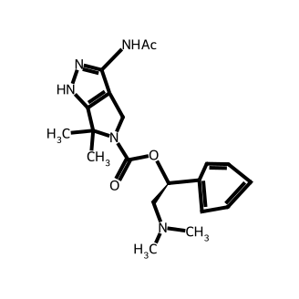 CC(=O)Nc1n[nH]c2c1CN(C(=O)O[C@H](CN(C)C)c1ccccc1)C2(C)C